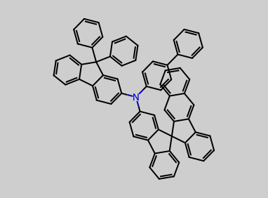 c1ccc(-c2ccc(N(c3ccc4c(c3)C(c3ccccc3)(c3ccccc3)c3ccccc3-4)c3ccc4c(c3)C3(c5ccccc5-4)c4ccccc4-c4cc5ccccc5cc43)cc2)cc1